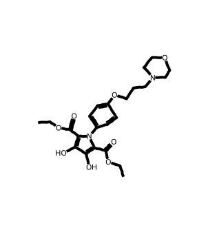 CCOC(=O)c1c(O)c(O)c(C(=O)OCC)n1-c1ccc(OCCCN2CCOCC2)cc1